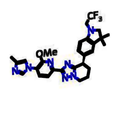 COc1nc(-c2nc3n(n2)CCC[C@@H]3c2ccc3c(c2)C(C)(C)CN3CC(F)(F)F)ccc1-n1cnc(C)c1